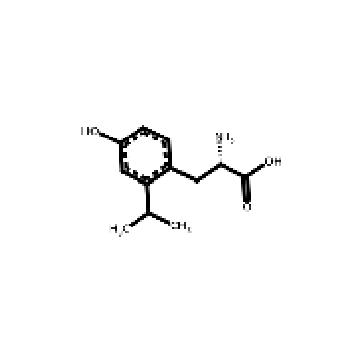 CC(C)c1cc(O)ccc1C[C@H](N)C(=O)O